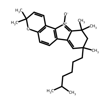 CC(C)CCCCC1(C)C=C2C(=[N+]([O-])c3c2ccc2c3C=CC(C)(C)O2)C(C)(C)C1